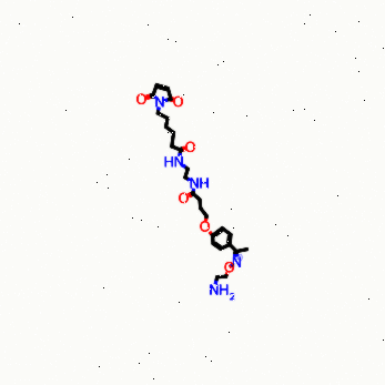 C/C(=N/OCCN)c1ccc(OCCCC(=O)NCCNC(=O)CCCCCN2C(=O)C=CC2=O)cc1